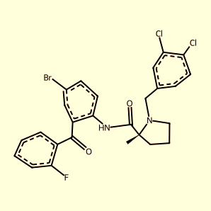 C[C@]1(C(=O)Nc2ccc(Br)cc2C(=O)c2ccccc2F)CCCN1Cc1ccc(Cl)c(Cl)c1